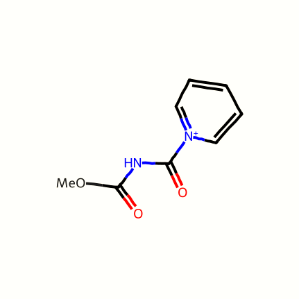 COC(=O)NC(=O)[n+]1ccccc1